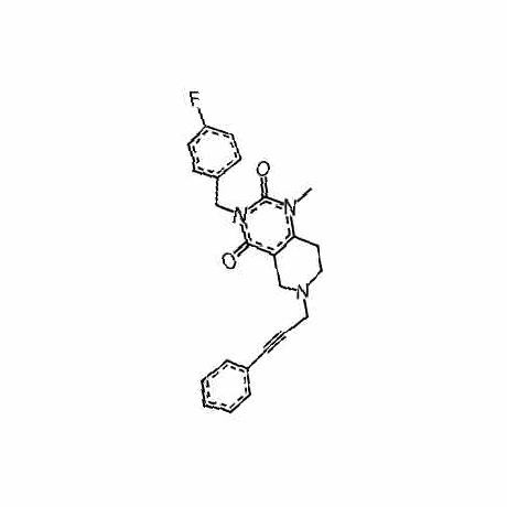 Cn1c2c(c(=O)n(Cc3ccc(F)cc3)c1=O)CN(CC#Cc1ccccc1)CC2